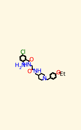 CCOc1ccc(CN2CCC(CNC(=O)CNC(=O)c3cc(Cl)ccc3N)CC2)cc1